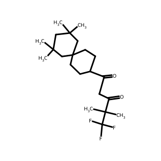 CC1(C)CC(C)(C)CC2(CCC(C(=O)CC(=O)C(C)(C)C(F)(F)F)CC2)C1